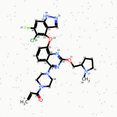 C=CC(=O)N1CCN(c2nc(OCC3CCCN3C)nc3c(Oc4c(Cl)c(F)cc5[nH]ncc45)cccc23)CC1